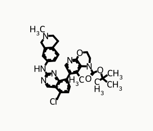 Cc1c(-c2ccc(Cl)c3cnc(Nc4ccc5c(c4)CN(C)CC5)nc23)cnc2c1N(C(=O)OC(C)(C)C)CCO2